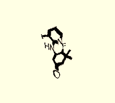 CC1(C)CC(=O)C=C(Nc2ncccc2I)C1F